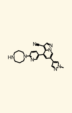 Cn1cc(-c2cc(-c3ccc(N4CCCNCCC4)nc3)c3c(C#N)cnn3c2)cn1